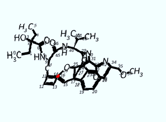 CCC(O)(CC)C(=O)N[C@H]1Cc2ccc3c(c2)C2(c4ccccc4NC2O3)c2oc(nc2-c2nc(COC)co2)[C@H](C(C)C)NC1=O